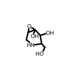 OCC1NCC2OC2(O)C1O